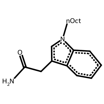 CCCCCCCCn1cc(CC(N)=O)c2ccccc21